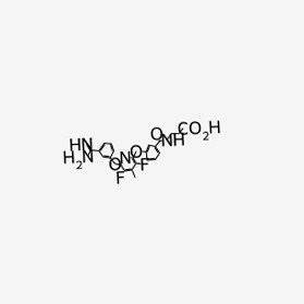 Cc1c(F)c(Oc2cccc(C(=N)N)c2)nc(Oc2cccc(C(=O)NCCC(=O)O)c2)c1F